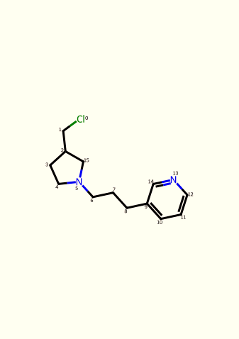 ClCC1CCN(CCCc2cccnc2)C1